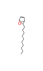 CCCCCCCCCCC1OC2C=CC1C2